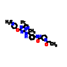 C=CC(=O)N1CCCC(C(=O)Nc2cccc(C(C)Nc3nc(OC4CCN(C)CC4)nc4c(C(C)C)cnn34)c2)C1